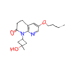 CCCCOc1cnc2c(c1)CCC(=O)N2C1CC(C)(O)C1